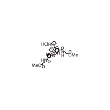 COC(=O)CCNC(=O)c1ccc([C@@H]2CCN(C(=O)[C@@H]3CCCN3)[C@@]2(c2ccc(C(=O)NCCC(=O)OC)cc2)P(=O)(O)O)cc1.Cl